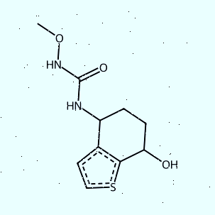 CONC(=O)NC1CCC(O)c2sccc21